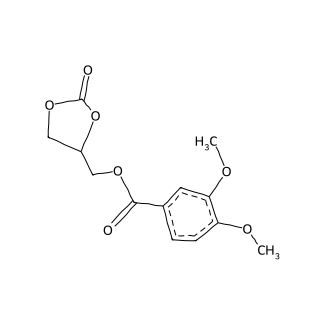 COc1ccc(C(=O)OCC2COC(=O)O2)cc1OC